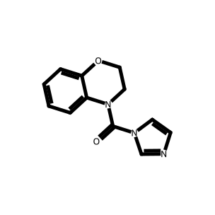 O=C(N1CCOc2ccccc21)n1ccnc1